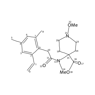 C=Cc1cc(C)cc(C)c1CC(=O)N(C)C1(C(=O)OC)CCN(OC)CC1